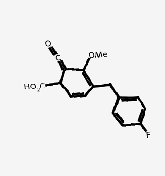 COC1=C(Cc2ccc(F)cc2)C=CC(C(=O)O)C1=C=O